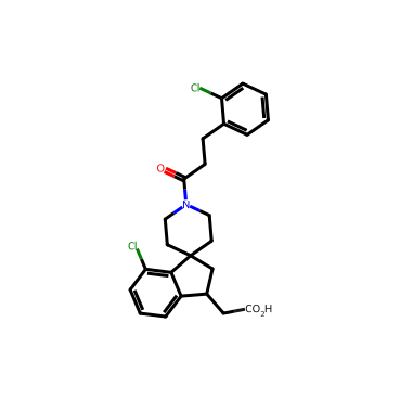 O=C(O)CC1CC2(CCN(C(=O)CCc3ccccc3Cl)CC2)c2c(Cl)cccc21